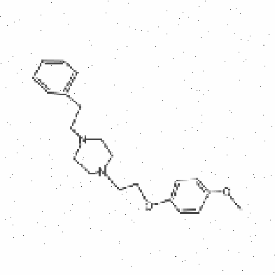 COc1ccc(OCCN2CCN(CCc3ccccc3)CC2)cc1